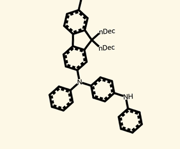 CCCCCCCCCCC1(CCCCCCCCCC)c2cc(C)ccc2-c2ccc(N(c3ccccc3)c3ccc(Nc4ccccc4)cc3)cc21